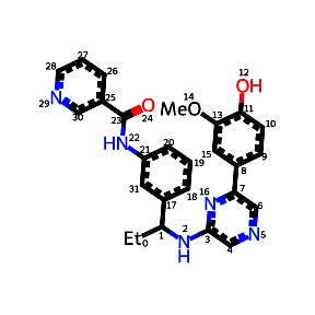 CCC(Nc1cncc(-c2ccc(O)c(OC)c2)n1)c1cccc(NC(=O)c2cccnc2)c1